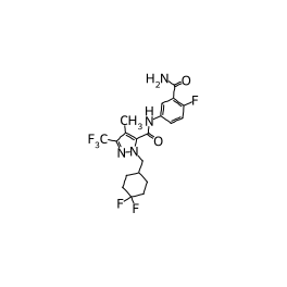 Cc1c(C(F)(F)F)nn(CC2CCC(F)(F)CC2)c1C(=O)Nc1ccc(F)c(C(N)=O)c1